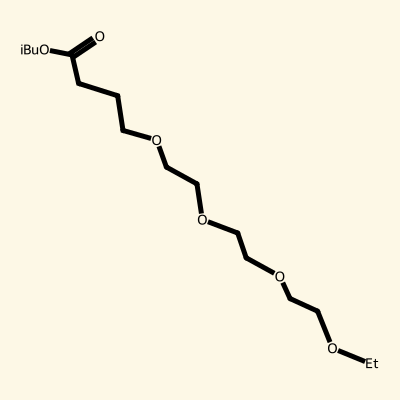 CCOCCOCCOCCOCCCC(=O)OCC(C)C